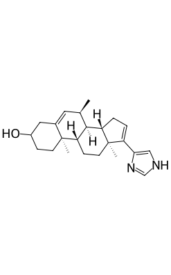 C[C@@H]1C=C2CC(O)CC[C@]2(C)[C@H]2CC[C@]3(C)C(c4c[nH]cn4)=CC[C@H]3[C@H]12